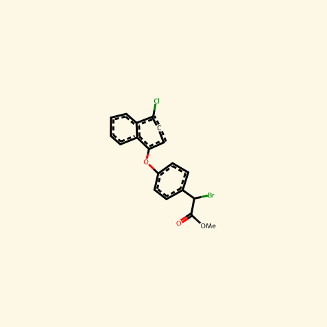 COC(=O)C(Br)c1ccc(Oc2ccc(Cl)c3ccccc23)cc1